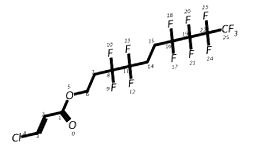 O=C(C=CCl)OCCC(F)(F)C(F)(F)CCC(F)(F)C(F)(F)C(F)(F)C(F)(F)F